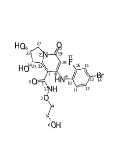 O=C(NOCCO)c1c(Nc2ccc(Br)cc2F)cc(=O)n2c1[C@H](O)[C@H](O)C2